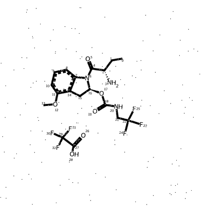 CC[C@H](N)C(=O)N1c2cccc(OC)c2C[C@@H]1OC(=O)NCC(F)(F)F.O=C(O)C(F)(F)F